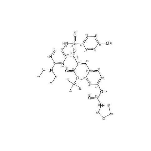 CCN(CC)c1ncc(NS(=O)(=O)c2ccc(Cl)cc2)c(N[C@@H](Cc2ccc(OC(=O)N3CCCC3)cc2)C(=O)OC(C)(C)C)n1